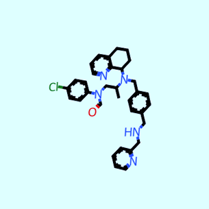 CC(CN(C=O)c1ccc(Cl)cc1)N(Cc1ccc(CNCc2ccccn2)cc1)C1CCCc2cccnc21